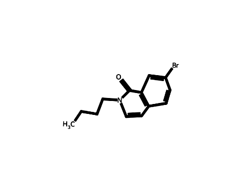 CCCCn1ccc2ccc(Br)cc2c1=O